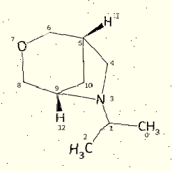 CC(C)N1C[C@H]2COC[C@@H]1C2